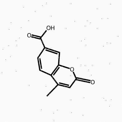 Cc1cc(=O)oc2cc(C(=O)O)ccc12